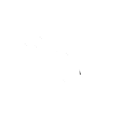 C[C@@H]1CC[C@@H](Oc2ncccc2C(C)(C)O)CN1C(=O)c1sccc1-n1nccn1